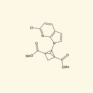 COC(=O)C12CC(C(=O)OC)(C1)C2n1ccc2ccc(Cl)nc21